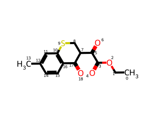 CCOC(=O)C(=O)C1CSc2cc(C)ccc2C1=O